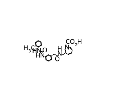 Cc1ccccc1NC(=O)Nc1cccc(CC(=O)NCC2=CN(CC(=O)O)C=CC=C2)c1